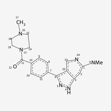 CNc1cc2[nH]nc(-c3ccc(C(=O)N4CCN(C)CC4)cc3)c2cn1